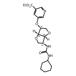 CCOC(=O)c1cncc(O[C@H]2CO[C@H]3[C@@H]2OC[C@@H]3NC(=O)NC2CCCCC2)c1